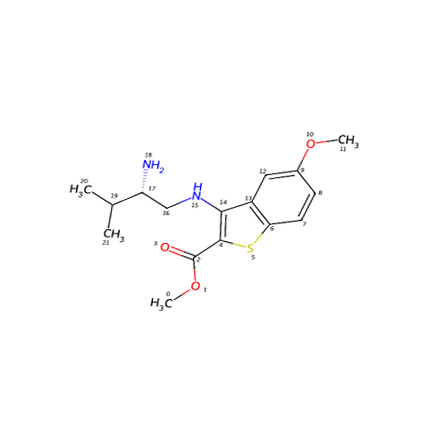 COC(=O)c1sc2ccc(OC)cc2c1NC[C@@H](N)C(C)C